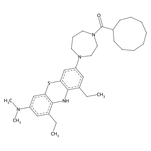 CCc1cc(N(C)C)cc2c1Nc1c(CC)cc(N3CCCN(C(=O)C4CCCCCCCC4)CC3)cc1S2